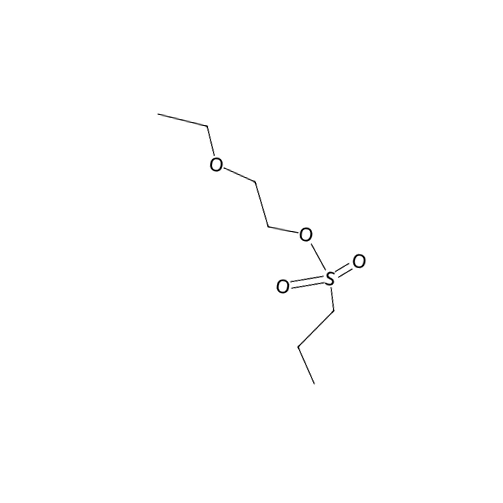 CCCS(=O)(=O)OCCOCC